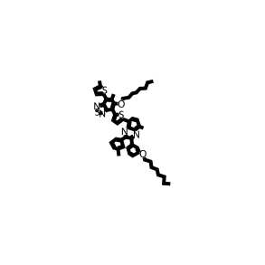 CCCCCCCCOc1cccc(-c2nc3c(C)ccc(-c4ccc(-c5c(OCCCCCCCC)c(C)c(-c6ccc(C)s6)c6nsnc56)s4)c3nc2-c2cccc(C)c2)c1